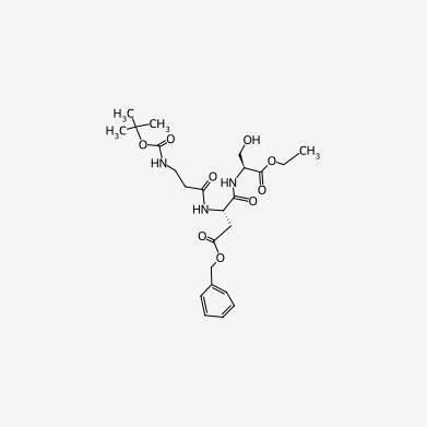 CCOC(=O)[C@H](CO)NC(=O)[C@H](CC(=O)OCc1ccccc1)NC(=O)CCNC(=O)OC(C)(C)C